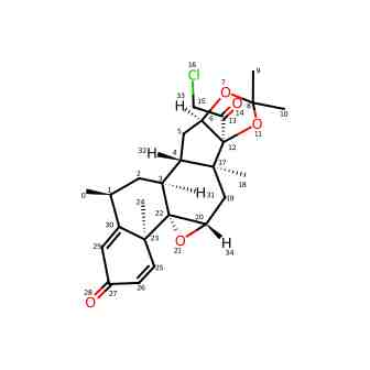 C[C@H]1C[C@H]2[C@@H]3C[C@H]4OC(C)(C)O[C@@]4(C(=O)CCl)[C@@]3(C)C[C@@H]3O[C@@]32[C@@]2(C)C=CC(=O)C=C12